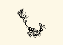 Cc1cc(OCCCC(=O)NCCC[C@H](C[C@@H](N)CS(=O)(=O)O)CS(=O)(=O)O)cc(C)c1S(=O)(=O)N[C@@H](CNC(=O)C1CC(=O)c2ccc(CNc3ncc[nH]3)cc2N1C)C(=O)O